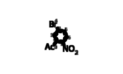 CC(=O)c1cc(Br)ccc1[N+](=O)[O-]